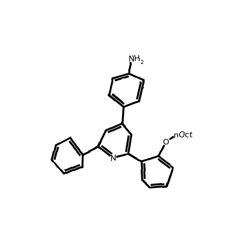 CCCCCCCCOc1ccccc1-c1cc(-c2ccc(N)cc2)cc(-c2ccccc2)n1